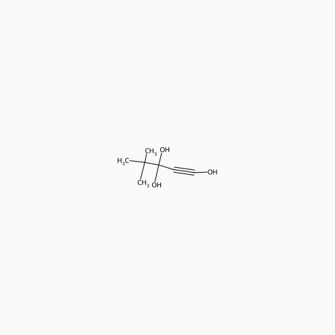 CC(C)(C)C(O)(O)C#CO